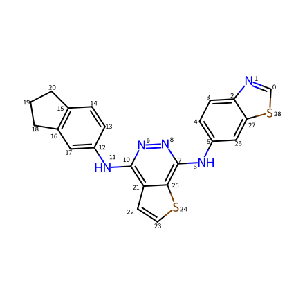 c1nc2ccc(Nc3nnc(Nc4ccc5c(c4)CCC5)c4ccsc34)cc2s1